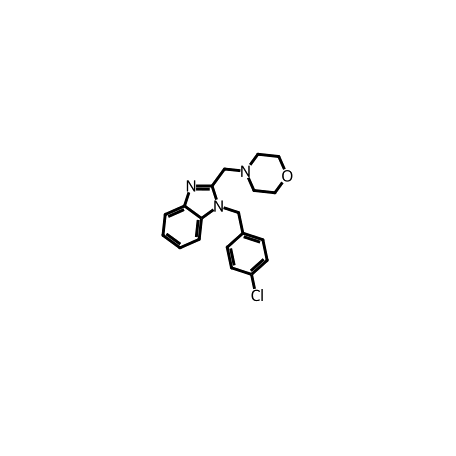 Clc1ccc(Cn2c(CN3CCOCC3)nc3ccccc32)cc1